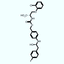 O=C(N[C@@H](COc1ccccc1Cl)C(=O)O)OCc1ccc(N[C@H](O)Cc2ccc(F)cc2)cc1